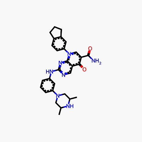 CC1CN(c2cccc(Nc3ncc4c(=O)c(C(N)=O)cn(-c5ccc6c(c5)CCC6)c4n3)c2)CC(C)N1